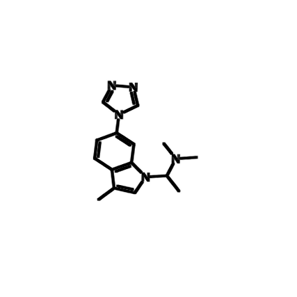 Cc1cn(C(C)N(C)C)c2cc(-n3cnnc3)ccc12